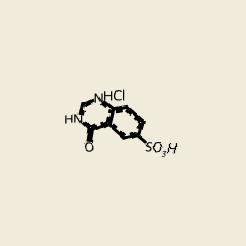 Cl.O=c1[nH]cnc2ccc(S(=O)(=O)O)cc12